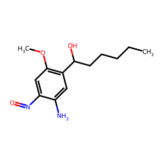 CCCCCC(O)c1cc(N)c(N=O)cc1OC